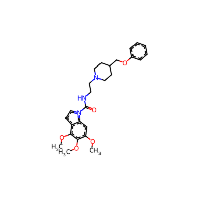 COc1cc2c(ccn2C(=O)NCCN2CCC(COc3ccccc3)CC2)c(OC)c1OC